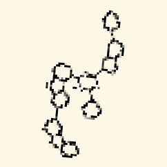 c1ccc(C2=NC(c3ccc4ccc(-c5ccccc5)cc4c3)=NC(c3cccc4oc5cc(-c6ccc7oc8ccccc8c7c6)ccc5c34)N2)cc1